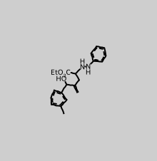 C=C(CC(NNc1ccccc1)C(=O)OCC)C(O)c1cccc(C)c1